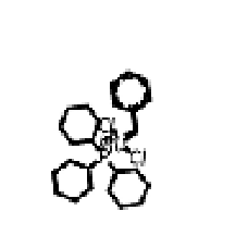 [Cl][Ru]([Cl])(=[CH]c1ccccc1)[PH](C1CCCCC1)(C1CCCCC1)C1CCCCC1